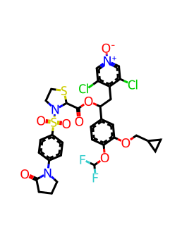 O=C(OC(Cc1c(Cl)c[n+]([O-])cc1Cl)c1ccc(OC(F)F)c(OCC2CC2)c1)C1SCCN1S(=O)(=O)c1ccc(N2CCCC2=O)cc1